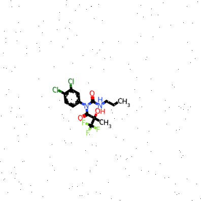 CCCNC(=O)N(C(=O)C(C)(O)C(F)(F)F)c1ccc(Cl)c(Cl)c1